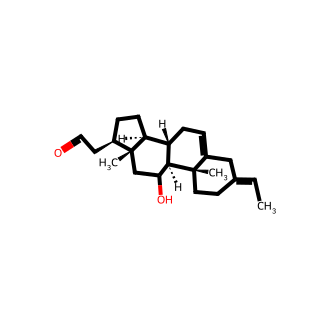 CC=C1CC[C@@]2(C)C(=CC[C@H]3[C@@H]4CC[C@H](CC=O)[C@@]4(C)CC(O)[C@@H]32)C1